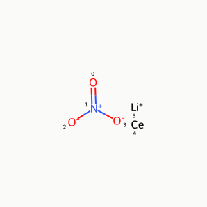 O=[N+]([O-])[O-].[Ce].[Li+]